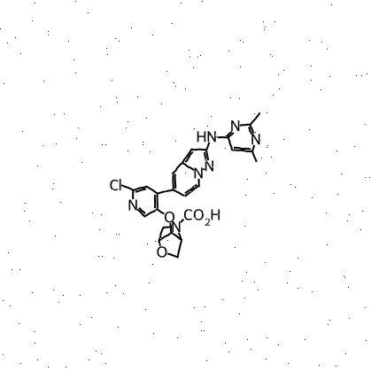 Cc1cc(Nc2cc3cc(-c4cc(Cl)ncc4OC4C5CN(C(=O)O)C4CO5)ccn3n2)nc(C)n1